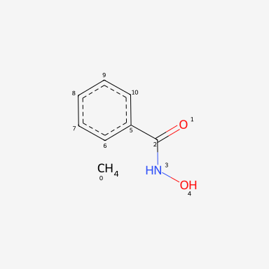 C.O=C(NO)c1ccccc1